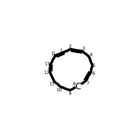 [C]1=C/C=C\CC/C=C\CCCC\C=C/1